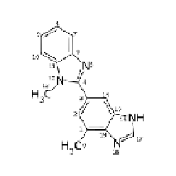 Cc1cc(-c2nc3ccccc3n2C)cc2[nH]cnc12